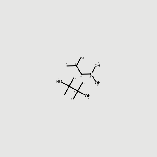 CC(C)(O)C(C)(C)O.CC(C)CB(O)O